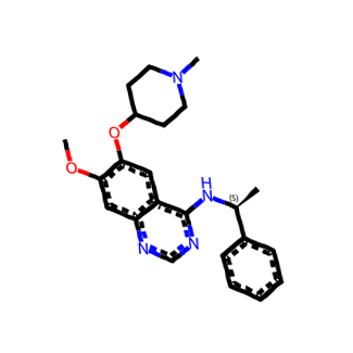 COc1cc2ncnc(N[C@@H](C)c3ccccc3)c2cc1OC1CCN(C)CC1